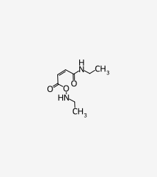 CCNOC(=O)/C=C\C(=O)NCC